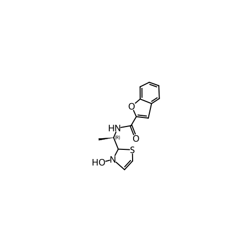 C[C@@H](NC(=O)c1cc2ccccc2o1)C1SC=CN1O